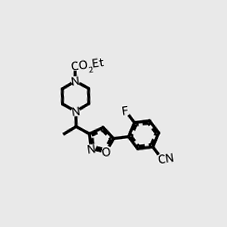 CCOC(=O)N1CCN(C(C)c2cc(-c3cc(C#N)ccc3F)on2)CC1